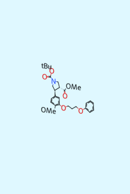 COC(=O)[C@H]1CN(C(=O)OC(C)(C)C)C[C@@H]1c1ccc(OC)c(OCCCOc2ccccc2)c1